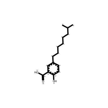 CC(C)CCCCCCc1ccc(O)c(C(=O)O)c1